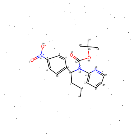 CCCC(c1ccc([N+](=O)[O-])cc1)N(C(=O)OC(C)(C)C)c1ccccn1